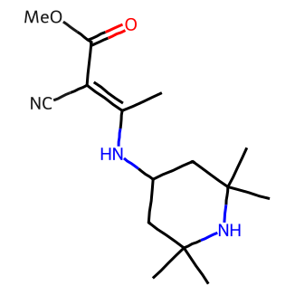 COC(=O)/C(C#N)=C(\C)NC1CC(C)(C)NC(C)(C)C1